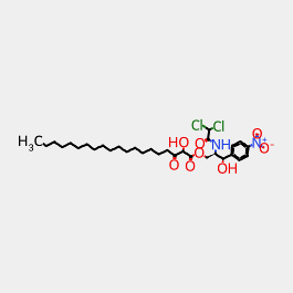 CCCCCCCCCCCCCCCCCC(=O)C(O)C(=O)OC[C@@H](NC(=O)C(Cl)Cl)[C@H](O)c1ccc([N+](=O)[O-])cc1